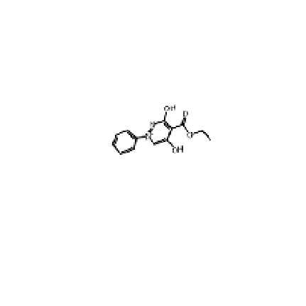 CCOC(=O)c1c(O)c[n+](-c2ccccc2)nc1O